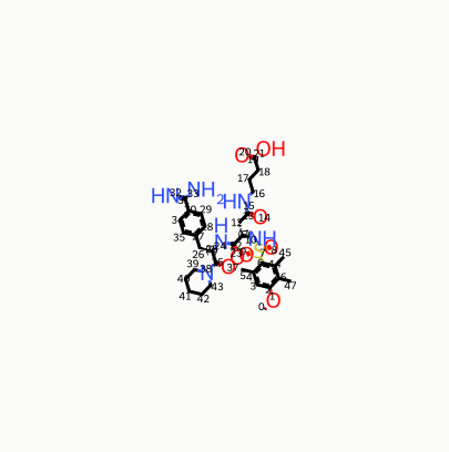 COc1cc(C)c(S(=O)(=O)N[C@@H](CC(=O)NCCCC(=O)O)C(=O)N[C@H](Cc2ccc(C(=N)N)cc2)C(=O)N2CCCCC2)c(C)c1C